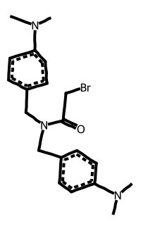 CN(C)c1ccc(CN(Cc2ccc(N(C)C)cc2)C(=O)CBr)cc1